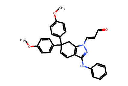 COc1ccc(C2(c3ccc(OC)cc3)C=Cc3c(Nc4ccccc4)nn(C=CC=O)c3C2)cc1